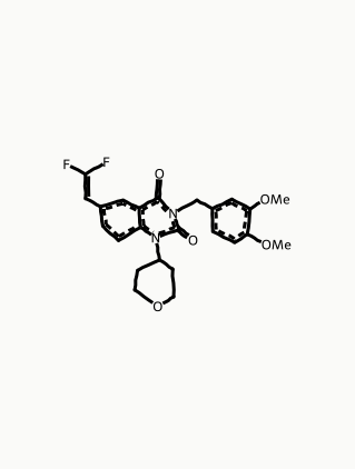 COc1ccc(Cn2c(=O)c3cc(C=C(F)F)ccc3n(C3CCOCC3)c2=O)cc1OC